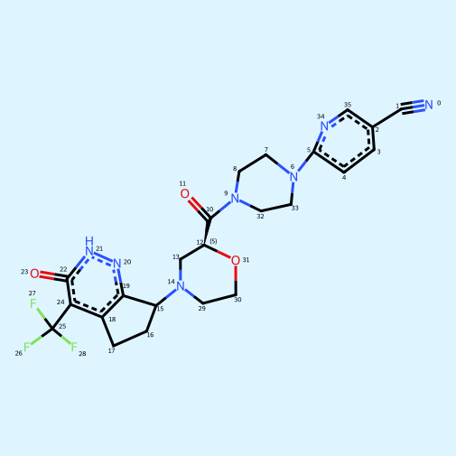 N#Cc1ccc(N2CCN(C(=O)[C@@H]3CN(C4CCc5c4n[nH]c(=O)c5C(F)(F)F)CCO3)CC2)nc1